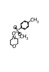 Cc1ccc(S(=O)(=O)ON2CCOC[C@H]2C)cc1